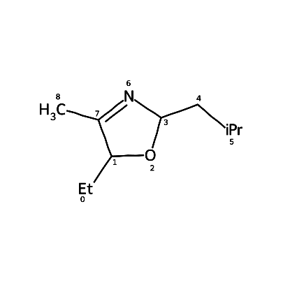 CCC1OC(CC(C)C)N=C1C